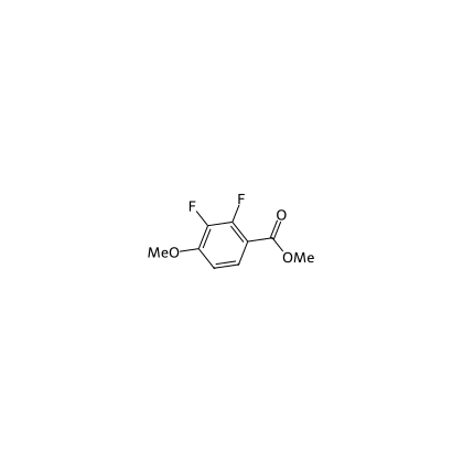 COC(=O)c1ccc(OC)c(F)c1F